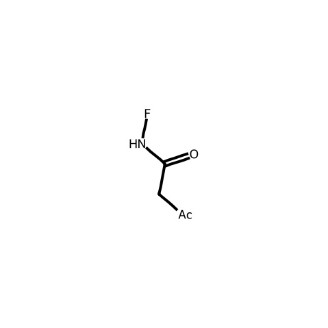 CC(=O)CC(=O)NF